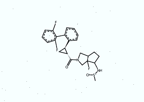 C[S+]([O-])NC1CCC2CN(C(=O)[C@@H]3C[C@H]3c3ccccc3-c3c(F)cccc3F)CC21F